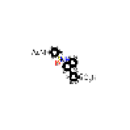 CC(=O)Nc1ccc(C)c([S+]([O-])Nc2ccc(-c3cccc(C(=O)O)c3)c3ccccc23)c1